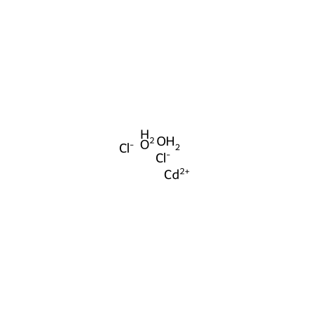 O.O.[Cd+2].[Cl-].[Cl-]